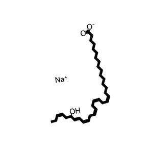 CC/C=C\C[C@H](O)/C=C/C=C\C/C=C\C/C=C\C/C=C\CCCCCCCCCCCCCCC(=O)[O-].[Na+]